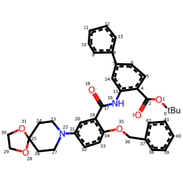 CC(C)(C)OC(=O)c1ccc(-c2ccccc2)cc1NC(=O)c1cc(N2CCC3(CC2)OCCO3)ccc1OCc1ccccc1